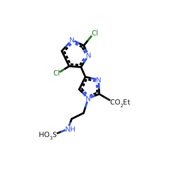 CCOC(=O)c1nc(-c2nc(Cl)ncc2Cl)cn1CCNS(=O)(=O)O